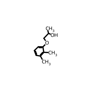 Cc1cccc(OCC(C)O)c1C